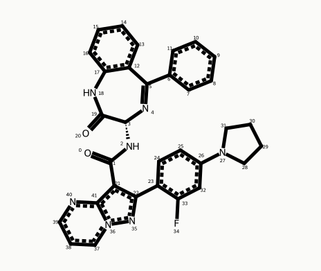 O=C(N[C@H]1N=C(c2ccccc2)c2ccccc2NC1=O)c1c(-c2ccc(N3CCCC3)cc2F)nn2cccnc12